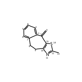 C=C1c2ccccc2CCc2nc(C)sc21